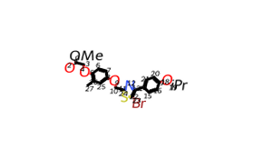 COC(=O)COc1ccc(OCc2nc(-c3ccc(OC(C)C)cc3)c(Br)s2)cc1C